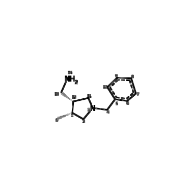 C[C@H]1CN(Cc2ccccc2)C[C@H]1CN